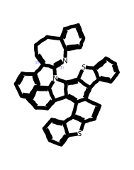 C1=C(c2ccccc2)\C(n2c3ccccc3c3c4c(ccc5sc6ccccc6c54)c4c5ccccc5sc4c32)=N/c2ccccc2CC/1